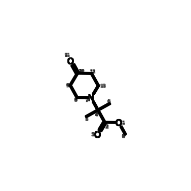 COC(=O)C(C)(C)N1CCC(=O)CC1